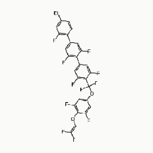 CCc1ccc(-c2cc(F)c(-c3cc(F)c(C(F)(F)Oc4cc(F)c(OC=C(F)F)c(F)c4)c(F)c3)c(F)c2)c(F)c1